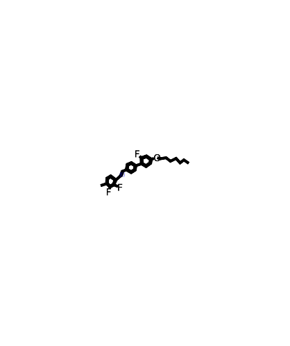 CCCCCCCOc1ccc(-c2ccc(/C=C/c3ccc(C)c(F)c3F)cc2)c(F)c1